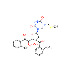 CSCN1CN([C@H]2C[C@@](O)(C(=O)c3ccccc3C)[C@@H](C(O)C(=O)c3ccccc3C)O2)C(=O)NC1=O